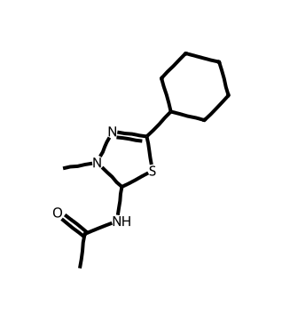 CC(=O)NC1SC(C2CCCCC2)=NN1C